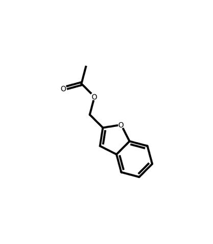 CC(=O)OCc1cc2ccccc2o1